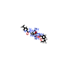 CC(C)c1ccc(C(=O)NC[C@@H]2NC(=N)N3CC(NC(=O)c4cccc5c4OCCC5(C)C)[C@@H](O)C34NC(=N)N[C@@H]24)nc1